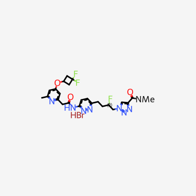 Br.CNC(=O)c1cn(C[C@H](F)CCc2ccc(NC(=O)Cc3cc(OC4CC(F)(F)C4)cc(C)n3)nn2)nn1